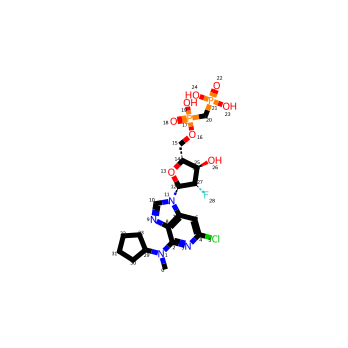 CN(c1nc(Cl)cc2c1ncn2[C@@H]1O[C@H](COP(=O)(O)CP(=O)(O)O)[C@@H](O)[C@@H]1F)C1CCCC1